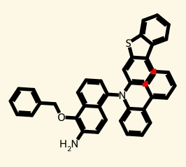 Nc1ccc2c(N(c3ccc4c(c3)sc3ccccc34)c3ccccc3-c3ccccc3)cccc2c1OCc1ccccc1